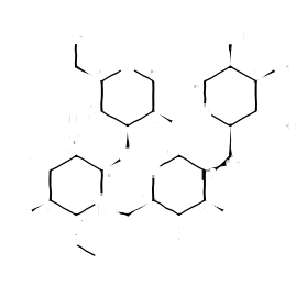 OC[C@H]1O[C@H](O[C@H]2O[C@H](CO)[C@@H](O)[C@H](O[C@H]3O[C@H](CO)[C@@H](O)[C@H](O)[C@@H]3O)[C@@H]2O[C@H]2O[C@H](CO)[C@@H](O)[C@H](O)[C@@H]2O)[C@@H](O)[C@@H](O)[C@@H]1O